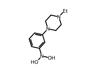 CCN1CCN(c2cccc(N(O)O)c2)CC1